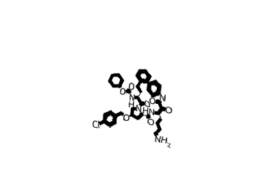 NCCCC[C@H](NC(=O)[C@@H]1C[C@@H](OCc2ccc(Cl)cc2)CN1C(=O)[C@@H](CCc1ccccc1)NC(=O)OC1CCCCC1)C(=O)c1nc2ccccc2o1